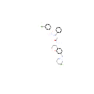 O=C(C[C@@H](NS(=O)(=O)c1cccc(C(F)(F)F)c1)c1ccccc1)N[C@@H]1CCOc2cc(CN3CCCC(F)(F)C3)ccc21